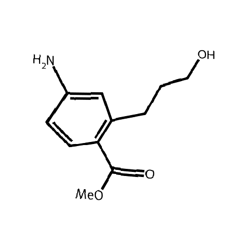 COC(=O)c1ccc(N)cc1CCCO